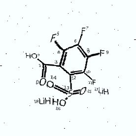 O=C(O)c1c(F)c(F)c(F)c(F)c1S(=O)(=O)O.[LiH].[LiH]